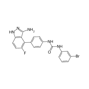 Nc1n[nH]c2ccc(F)c(-c3ccc(NC(=O)Nc4cccc(Br)c4)cc3)c12